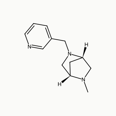 CN1C[C@@H]2C[C@H]1CN2Cc1cccnc1